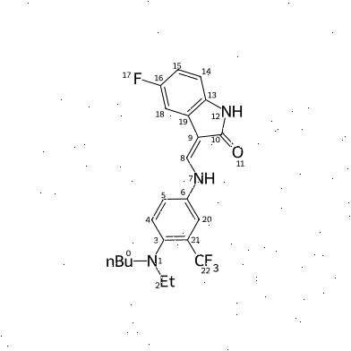 CCCCN(CC)c1ccc(NC=C2C(=O)Nc3ccc(F)cc32)cc1C(F)(F)F